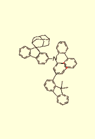 CC1(C)c2ccccc2-c2cccc(-c3cccc(N(c4ccc5c(c4)C4(c6ccccc6-5)C5CC6CC(C5)CC4C6)c4ccccc4-c4ccccc4)c3)c21